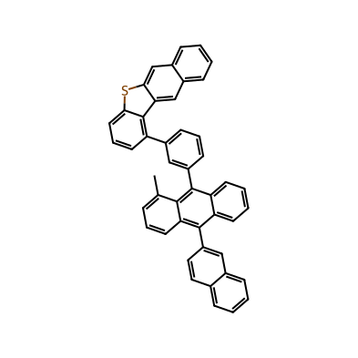 Cc1cccc2c(-c3ccc4ccccc4c3)c3ccccc3c(-c3cccc(-c4cccc5sc6cc7ccccc7cc6c45)c3)c12